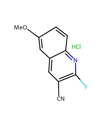 COc1ccc2nc(F)c(C#N)cc2c1.Cl